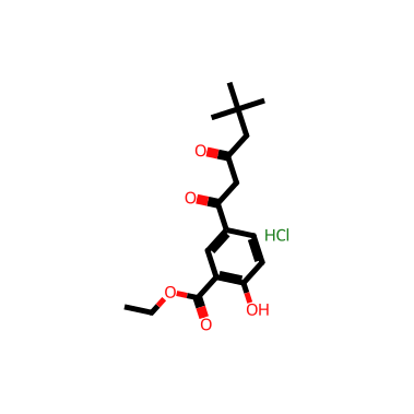 CCOC(=O)c1cc(C(=O)CC(=O)CC(C)(C)C)ccc1O.Cl